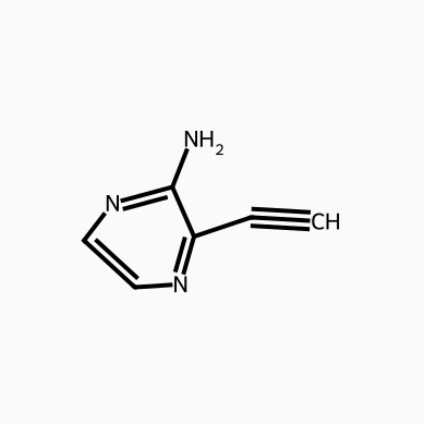 C#Cc1nccnc1N